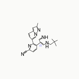 Cc1cc2ccc(-c3nc(C#N)ccc3/C(C=N)=C/NCC(C)(C)C)cn2n1